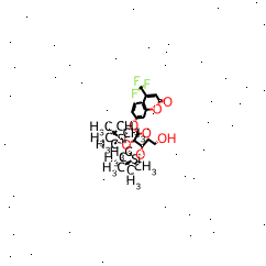 CC(C)(C)[Si](C)(C)OC1C(CO)OC(Oc2ccc3c(C(F)(F)F)cc(=O)oc3c2)C1O[Si](C)(C)C(C)(C)C